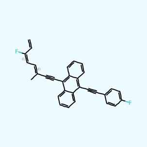 C=C/C(F)=C\C=C(/C)C#Cc1c2ccccc2c(C#Cc2ccc(F)cc2)c2ccccc12